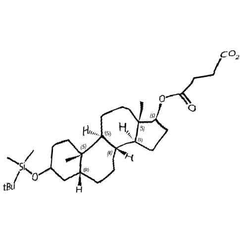 CC(C)(C)[Si](C)(C)OC1CC[C@@]2(C)[C@H](CC[C@@H]3[C@@H]2CC[C@]2(C)[C@@H](OC(=O)CCC(=O)O)CC[C@@H]32)C1